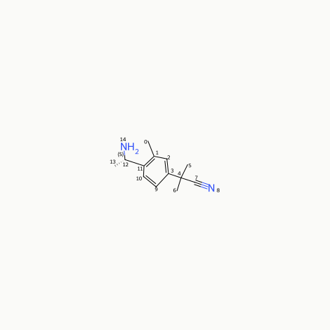 Cc1cc(C(C)(C)C#N)ccc1[C@H](C)N